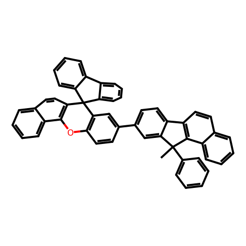 CC1(c2ccccc2)c2cc(-c3ccc4c(c3)C3(c5ccccc5-c5ccccc53)c3ccc5ccccc5c3O4)ccc2-c2ccc3ccccc3c21